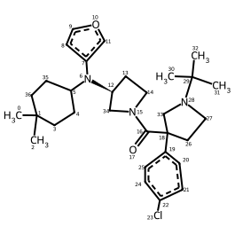 CC1(C)CCC(N(c2ccoc2)[C@H]2CCN(C(=O)C3(c4ccc(Cl)cc4)CCN(C(C)(C)C)C3)C2)CC1